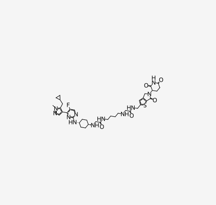 Cn1ncc(-c2nc(N[C@H]3CC[C@H](NCC(=O)NCCCCNCC(=O)NCc4cc5c(s4)C(=O)N(C4CCC(=O)NC4=O)C5)CC3)ncc2F)c1CC1CC1